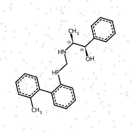 Cc1ccccc1-c1ccccc1PCN[C@@H](C)[C@H](O)c1ccccc1